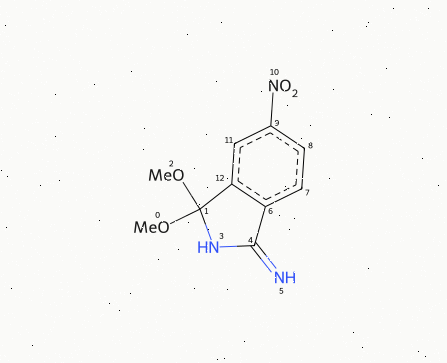 COC1(OC)NC(=N)c2ccc([N+](=O)[O-])cc21